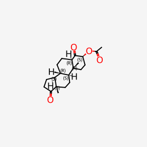 CC(=O)O[C@H]1CC[C@@]2(C)[C@@H](CC[C@@H]3[C@@H]2CC[C@]2(C)C(=O)CC[C@@H]32)C1=O